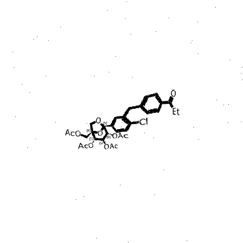 CCC(=O)c1ccc(Cc2cc([C@]34OC[C@](COC(C)=O)(O3)[C@@H](OC(C)=O)[C@H](OC(C)=O)[C@H]4OC(C)=O)ccc2Cl)cc1